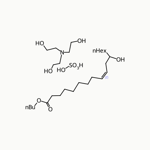 CCCCCCC(O)C/C=C\CCCCCCCC(=O)OCCCC.O=S(=O)(O)O.OCCN(CCO)CCO